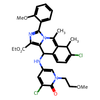 CCOC(=O)c1nc(-c2ccccc2OC)n2c1C(Nc1cc(Cl)c(=O)n(CCOC)c1)C1=CC=C(Cl)C(C)C1=C2C